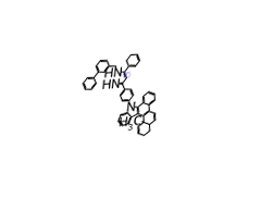 CC12C=CCCC1C=Cc1c2c2c3ccccc3n(-c3ccc(C(=N)/C=C(\NCc4cccc(-c5ccccc5)c4)C4=CC=CCC4)cc3)c2c2ccccc12